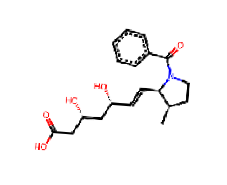 C[C@@H]1CCN(C(=O)c2ccccc2)[C@@H]1/C=C/[C@@H](O)C[C@@H](O)CC(=O)O